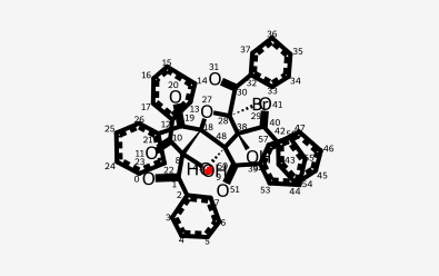 O=C(c1ccccc1)C(O)(C(=O)c1ccccc1)[C@@]1(C(=O)c2ccccc2)O[C@@](Br)(C(=O)c2ccccc2)[C@](O)(C(=O)c2ccccc2)[C@@]1(O)C(=O)c1ccccc1